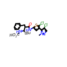 Cn1ncc(Cl)c1-c1cc(NC(=O)C(Cc2ccccc2)C(NC(=O)O)C(C)(C)C)sc1Cl